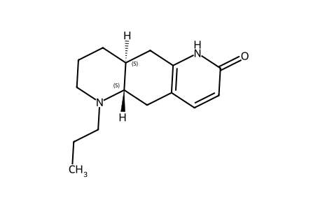 CCCN1CCC[C@H]2Cc3[nH]c(=O)ccc3C[C@@H]21